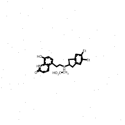 CC(=O)O.CCc1cc2c(cc1CC)CC(NCCc1ccc(O)c3[nH]c(=O)ccc13)C2